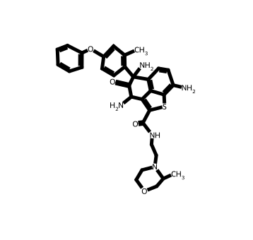 Cc1cc(Oc2ccccc2)ccc1C1(N)C(=O)C(N)c2c(C(=O)NCCN3CCOCC3C)sc3c(N)ccc1c23